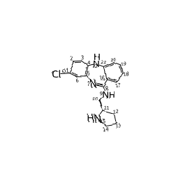 Clc1ccc2c(c1)N=C(NC[C@H]1CCCN1)c1ccccc1N2